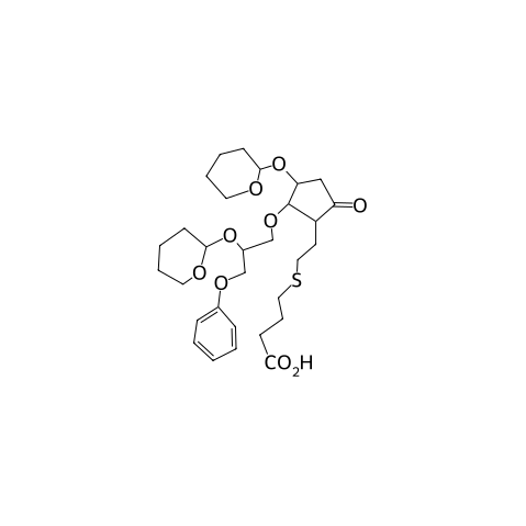 O=C(O)CCCSCCC1C(=O)CC(OC2CCCCO2)C1OCC(COc1ccccc1)OC1CCCCO1